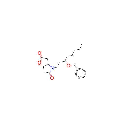 CCCCCC(CCN1C(=O)CC2OC(=O)CC21)OCc1ccccc1